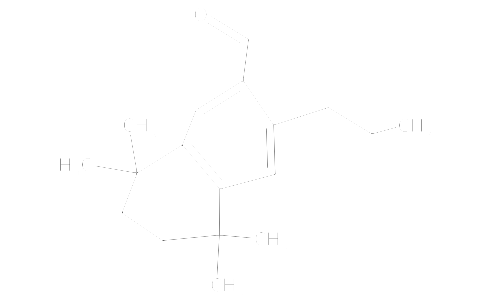 CCCc1cc2c(cc1C=O)C(C)(C)CCC2(C)C